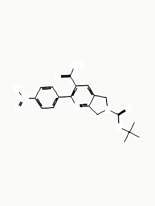 CC(C)(C)OC(=O)N1Cc2cc(C(=O)O)c(-c3ccc([N+](=O)[O-])cc3)nc2C1